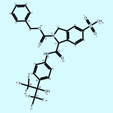 CS(=O)(=O)c1ccc2c(c1)CN(C(=O)OCc1ccccc1)C2C(=O)Nc1ccc(C(O)(C(F)(F)F)C(F)(F)F)cc1